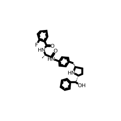 C[C@H](NC(=O)c1ccccc1F)C(=O)Nc1ccc(C[C@@H]2CC[C@H](C(O)c3ccccc3)N2)cc1